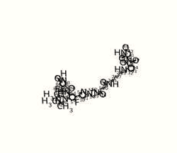 C[C@@H]1CN(c2cc(F)c(-c3ccc(N4CCN(C(=O)CCC(=O)NCCCCCCNc5cccc6c5C(=O)N(C5CCC(=O)NC5=O)C6=O)CC4)nc3)cc2NC(=O)c2c[nH]c(=O)cc2C(F)(F)F)C[C@H](C)N1C